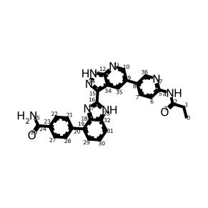 CCC(=O)Nc1ccc(-c2cnc3[nH]nc(-c4nc5c(-c6ccc(C(N)=O)cc6)cccc5[nH]4)c3c2)cn1